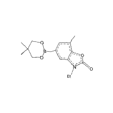 CCn1c(=O)oc2c(C)cc(B3OCC(C)(C)CO3)cc21